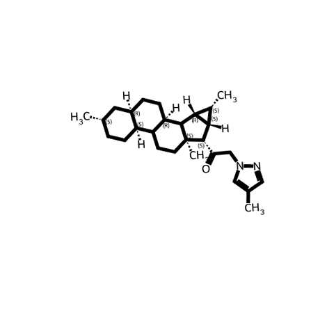 Cc1cnn(CC(=O)[C@H]2[C@H]3[C@@H](C)[C@H]3C3[C@@H]4CC[C@@H]5C[C@@H](C)CC[C@@H]5C4CC[C@@]32C)c1